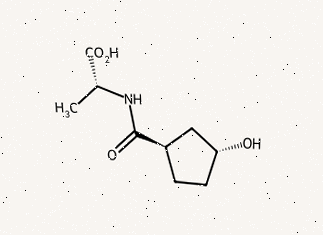 C[C@@H](NC(=O)[C@@H]1CC[C@@H](O)C1)C(=O)O